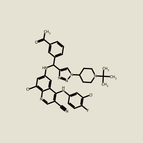 CC(=O)c1cccc(C(Nc2cc(Cl)c3ncc(C#N)c(Nc4ccc(F)c(Cl)c4)c3c2)c2cn(C3CCN(C(C)(C)C)CC3)nn2)c1